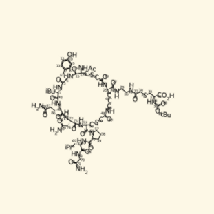 CC[C@H](C)[C@@H]1NC(=O)[C@H](Cc2ccc(O)cc2)NC(=O)[C@@H](NC(C)=O)CSCC(=O)N[C@@H](C(=O)NCCNC(=O)CSC[C@H](NC(=O)OC(C)(C)C)C(=O)O)CCCNC(=O)CSC[C@@H](C(=O)N2CCC[C@H]2C(=O)N[C@@H](CC(C)C)C(=O)NCC(N)=O)NC(=O)[C@H](CC(N)=O)NC(=O)[C@H](CCC(N)=O)NC1=O